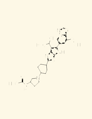 COc1cc(-c2[nH]c3sc(C4CCC(N5CCC(NC(C)=O)C5)CC4)nc3c2C(C)C)cn2ncnc12